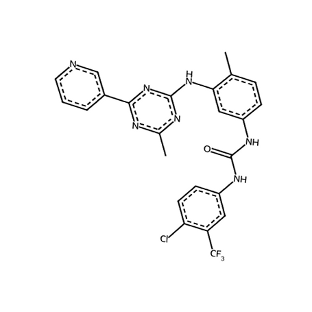 Cc1nc(Nc2cc(NC(=O)Nc3ccc(Cl)c(C(F)(F)F)c3)ccc2C)nc(-c2cccnc2)n1